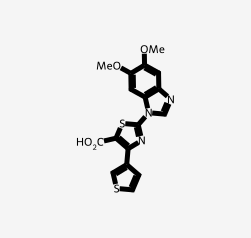 COc1cc2ncn(-c3nc(-c4ccsc4)c(C(=O)O)s3)c2cc1OC